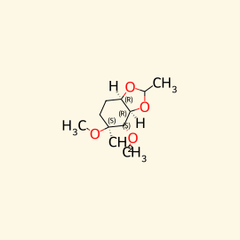 [CH2][C@]1(OC)CC[C@H]2OC(C)O[C@H]2[C@@H]1OC